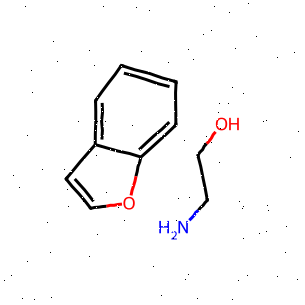 NCCO.c1ccc2occc2c1